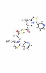 C[C@@H](CN1C(C(=O)O)CSC1c1cccnc1)C(=O)SSC(=O)[C@@H](C)CN1C(C(=O)O)CSC1c1cccnc1